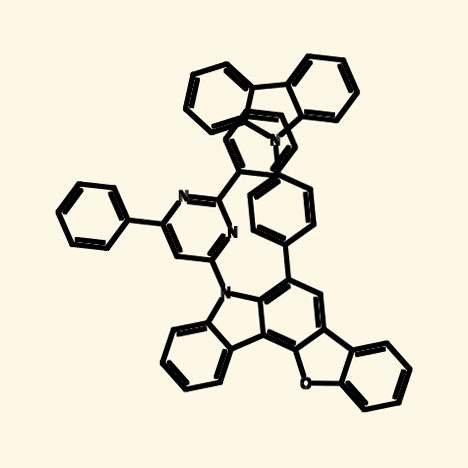 c1ccc(-c2cc(-n3c4ccccc4c4c5oc6ccccc6c5cc(-c5ccc(-n6c7ccccc7c7ccccc76)cc5)c43)nc(-c3ccccc3)n2)cc1